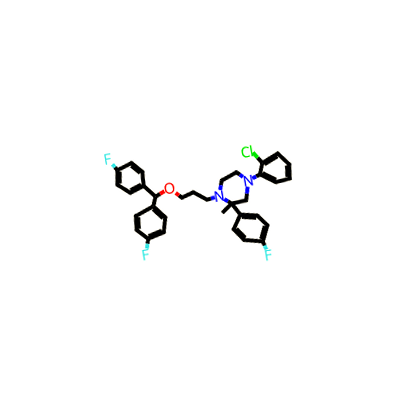 CC1(c2ccc(F)cc2)CN(c2ccccc2Cl)CCN1CCCOC(c1ccc(F)cc1)c1ccc(F)cc1